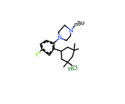 CCCCN1CCN(c2ccc(F)cc2C2CC(C)(C)CC(C)(C)C2)CC1.Cl